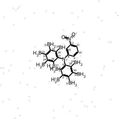 Bc1c(B)c(B)c(N(c2cccc([N+](=O)[O-])c2)c2c(B)c(B)c(B)c(B)c2B)c(B)c1B